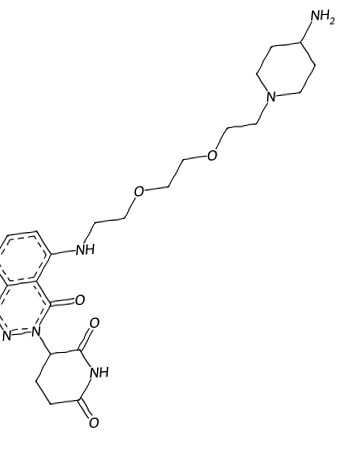 NC1CCN(CCOCCOCCNc2cccc3nnn(C4CCC(=O)NC4=O)c(=O)c23)CC1